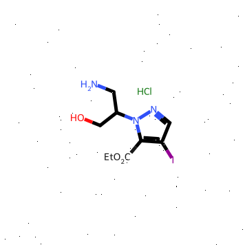 CCOC(=O)c1c(I)cnn1C(CN)CO.Cl